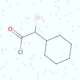 BC(C(=O)Cl)C1CCCCC1